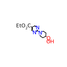 CCOC(=O)c1cnc(N2CCC(OO)CC2)nc1